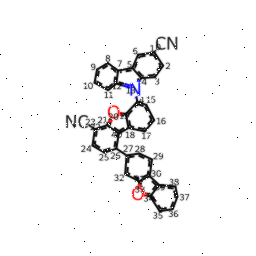 N#Cc1ccc2c(c1)c1ccccc1n2-c1cccc2c1oc1c(C#N)ccc(-c3ccc4c(c3)oc3ccccc34)c12